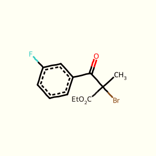 CCOC(=O)C(C)(Br)C(=O)c1cccc(F)c1